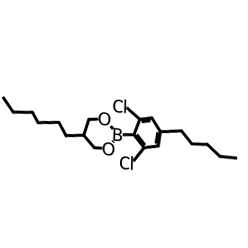 CCCCCCC1COB(c2c(Cl)cc(CCCCC)cc2Cl)OC1